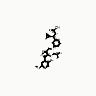 COc1cc(-c2onc(COc3cccc(C(CC(=O)O)C4CC4)c3)c2OCC(C)C)c(F)cn1